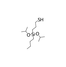 CCCC[Si](CCCS)(OC(C)C)OC(C)C